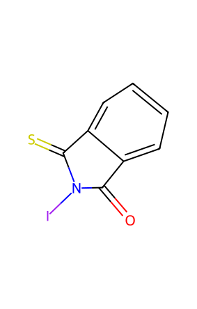 O=C1c2ccccc2C(=S)N1I